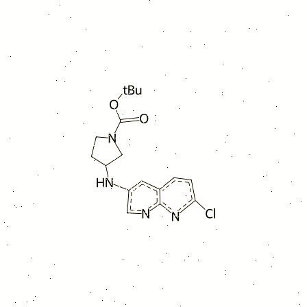 CC(C)(C)OC(=O)N1CCC(Nc2cnc3nc(Cl)ccc3c2)C1